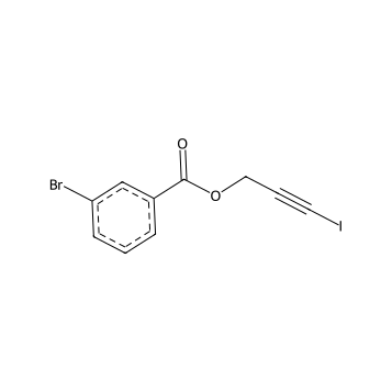 O=C(OCC#CI)c1cccc(Br)c1